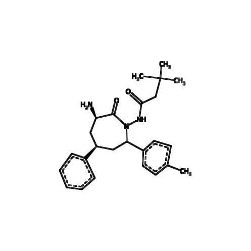 Cc1ccc(C2C[C@@H](c3ccccc3)C[C@@H](N)C(=O)N2NC(=O)CC(C)(C)C)cc1